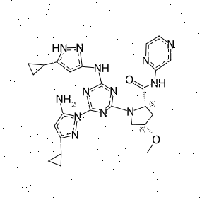 CO[C@H]1C[C@@H](C(=O)Nc2cnccn2)N(c2nc(Nc3cc(C4CC4)[nH]n3)nc(-n3nc(C4CC4)cc3N)n2)C1